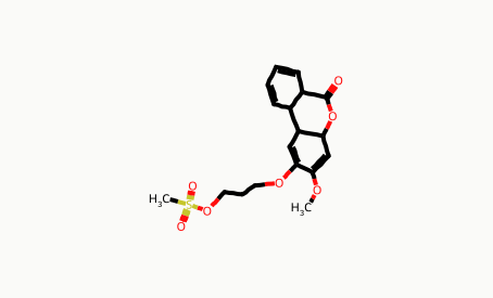 COC1=CC2OC(=O)C3C=CC=CC3C2C=C1OCCCOS(C)(=O)=O